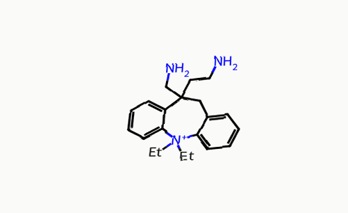 CC[N+]1(CC)c2ccccc2CC(CN)(CCN)c2ccccc21